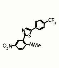 CNc1ccc([N+](=O)[O-])cc1-c1ncc(-c2ccc(C(F)(F)F)cc2)s1